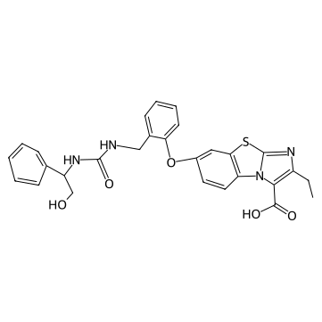 CCc1nc2sc3cc(Oc4ccccc4CNC(=O)NC(CO)c4ccccc4)ccc3n2c1C(=O)O